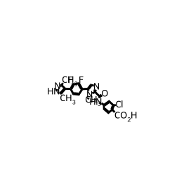 Cc1n[nH]c(C)c1-c1ccc(-c2cnc(C(=O)Nc3ccc(C(=O)O)c(Cl)c3)n2C)c(F)c1F